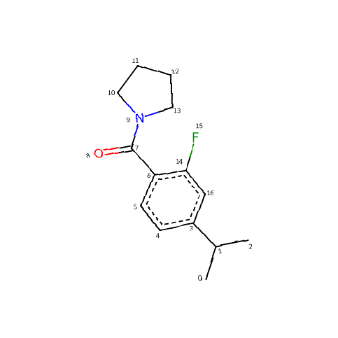 CC(C)c1ccc(C(=O)N2CCCC2)c(F)c1